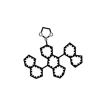 c1ccc2c(-c3c4ccccc4c(-c4cccc5ccccc45)c4cc(B5OCCO5)ccc34)cccc2c1